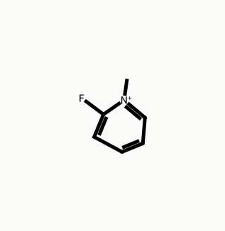 C[n+]1ccccc1F